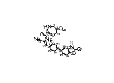 CO[C@@H]1CNC[C@@H](C(=O)NC(C#N)Cc2ccc(-c3ccc4oc(=O)n(C)c4c3)cc2F)OC1